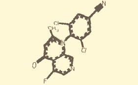 Cc1cc(=O)c2c(F)cncc2n1-c1c(Cl)cc(C#N)cc1Cl